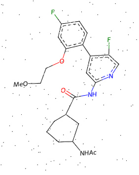 COCCOc1cc(F)ccc1-c1cc(NC(=O)C2CCCC(NC(C)=O)C2)ncc1F